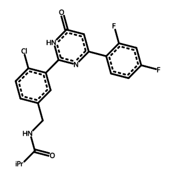 CC(C)C(=O)NCc1ccc(Cl)c(-c2nc(-c3ccc(F)cc3F)cc(=O)[nH]2)c1